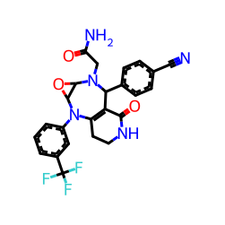 N#Cc1ccc(C2C3=C(CCNC3=O)N(c3cccc(C(F)(F)F)c3)C3OC3N2CC(N)=O)cc1